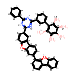 Bc1c(B)c(B)c(-c2cccc(-c3nc(-c4ccccc4)nc(-c4ccc5oc6cc(-c7cccc8c7oc7ccccc78)ccc6c5c4)n3)c2)c(B)c1B